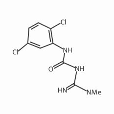 CNC(=N)NC(=O)Nc1cc(Cl)ccc1Cl